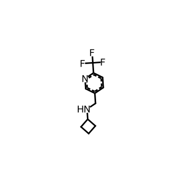 FC(F)(F)c1ccc(CNC2CCC2)cn1